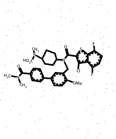 COc1ccc(-c2ccc(C(=O)N(C)C)cc2)cc1CN(C(=O)c1sc2c(F)ccc(F)c2c1Cl)C1CCC(N(C)C(=O)O)CC1